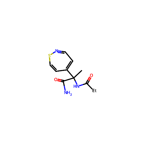 CCC(=O)NC(C)(C(N)=O)C1=CC=NSC=C1